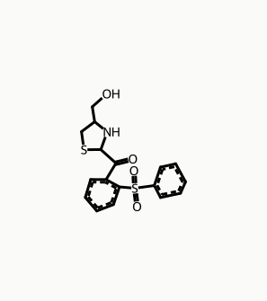 O=C(c1ccccc1S(=O)(=O)c1ccccc1)C1NC(CO)CS1